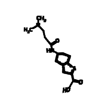 CN(C)CCC(=O)Nc1ccc2sc(C(=O)O)cc2c1